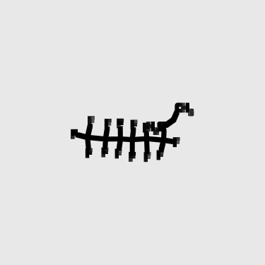 CC[SiH2]C(F)(F)C(F)(F)C(F)(F)C(F)(F)C(F)(F)C(F)(F)F